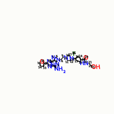 Nc1nc2c(ncn2CCN2CCN(c3ccc(C(=O)NCCO)cc3F)CC2)c2nc(-c3ccco3)nn12